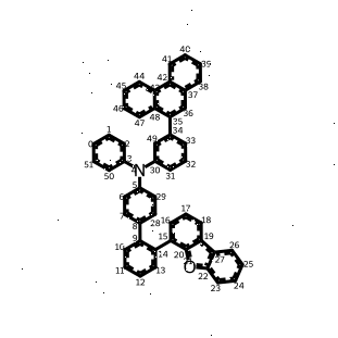 c1ccc(N(c2ccc(-c3ccccc3-c3cccc4c3oc3ccccc34)cc2)c2cccc(-c3cc4ccccc4c4ccccc34)c2)cc1